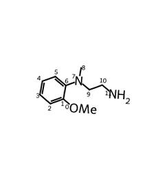 COc1ccccc1N(C)CCN